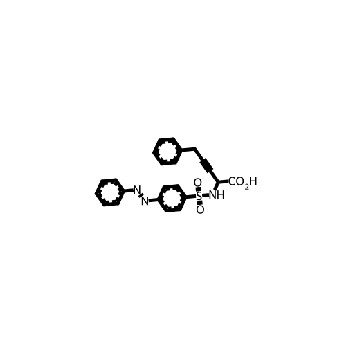 O=C(O)C(C#CCc1ccccc1)NS(=O)(=O)c1ccc(N=Nc2ccccc2)cc1